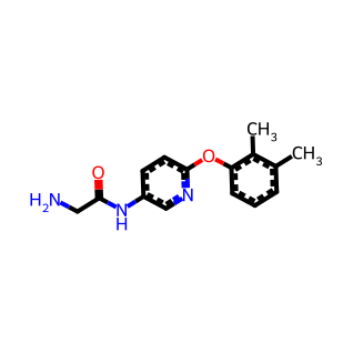 Cc1cccc(Oc2ccc(NC(=O)CN)cn2)c1C